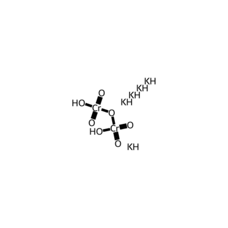 [KH].[KH].[KH].[KH].[KH].[O]=[Cr](=[O])([OH])[O][Cr](=[O])(=[O])[OH]